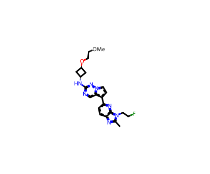 COCCO[C@H]1C[C@H](Nc2ncc3c(-c4ccc5nc(C)n(CCF)c5n4)ccn3n2)C1